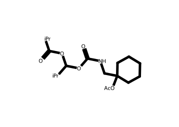 CC(=O)OC1(CNC(=O)OC(OC(=O)C(C)C)C(C)C)CCCCC1